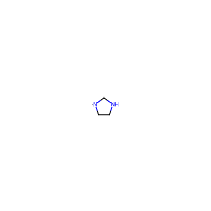 [CH]1[N]CCN1